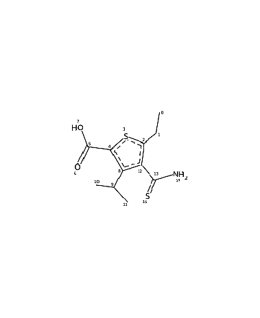 CCc1sc(C(=O)O)c(C(C)C)c1C(N)=S